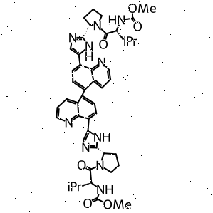 COC(=O)N[C@H](C(=O)N1CCC[C@H]1c1ncc(-c2ccc(-c3ccc(-c4cnc([C@@H]5CCCN5C(=O)[C@@H](NC(=O)OC)C(C)C)[nH]4)c4ncccc34)c3cccnc23)[nH]1)C(C)C